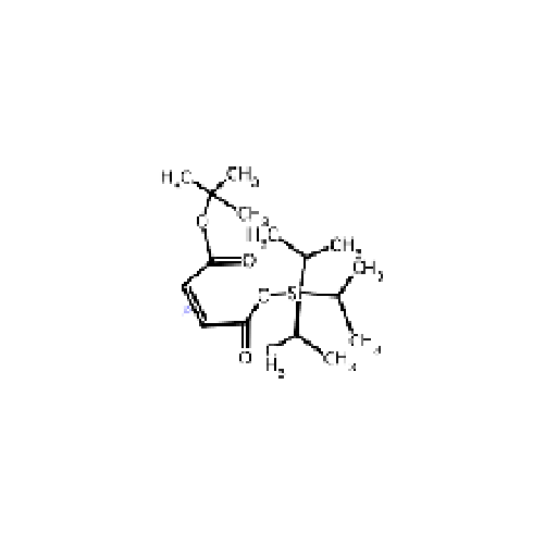 CC(C)[Si](OC(=O)/C=C\C(=O)OC(C)(C)C)(C(C)C)C(C)C